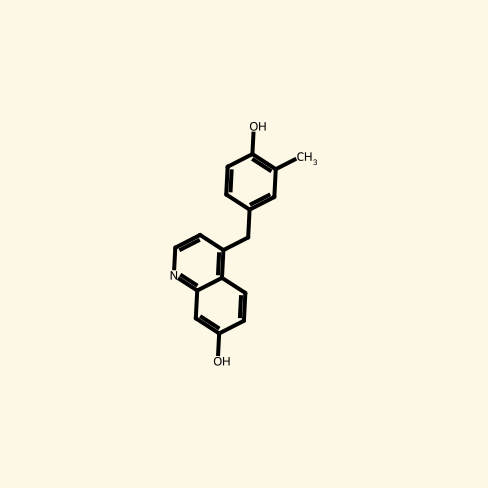 Cc1cc(Cc2ccnc3cc(O)ccc23)ccc1O